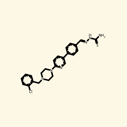 NC(=S)N/N=C/c1ccc(-c2ccc(N3CCN(Cc4ccccc4Cl)CC3)nc2)cc1